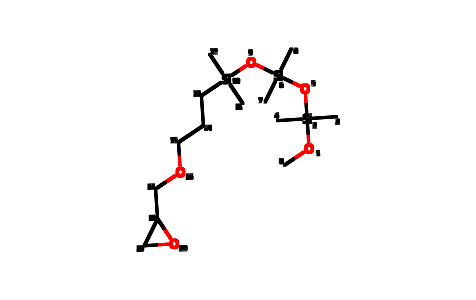 CO[Si](C)(C)O[Si](C)(C)O[Si](C)(C)CCCOCC1CO1